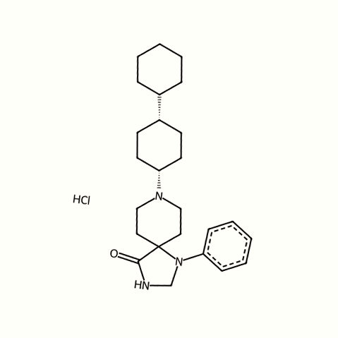 Cl.O=C1NCN(c2ccccc2)C12CCN([C@H]1CC[C@@H](C3CCCCC3)CC1)CC2